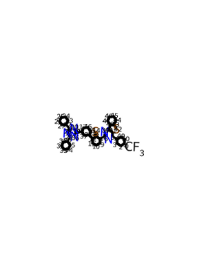 FC(F)(F)c1ccc(-c2nc(-c3cccc4c3sc3ccc(-c5nc(-c6ccccc6)nc(-c6ccccc6)n5)cc34)nc3c2sc2ccccc23)cc1